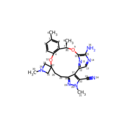 Cc1ccc2c(c1)[C@@H](C)Oc1nc(cnc1N)-c1c(nn(C)c1C#N)CCC1(CN(C)C1)O2